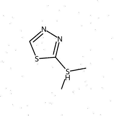 C[SH](C)c1nncs1